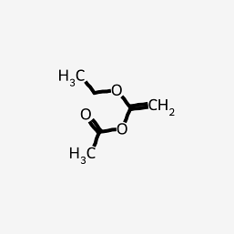 C=C(OCC)OC(C)=O